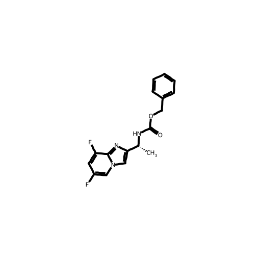 C[C@@H](NC(=O)OCc1ccccc1)c1cn2cc(F)cc(F)c2n1